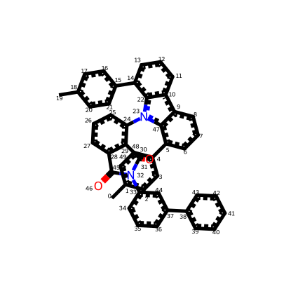 Cc1ccc(-c2cccc3c4cccc(-c5ccc(C)cc5)c4n(-c4cccc5c4C(=O)N(c4cccc(-c6ccccc6)c4)C5=O)c23)cc1